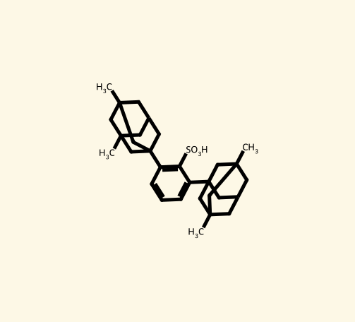 CC12CC3CC(C)(C1)CC(c1cccc(C45CC6CC(C)(CC(C)(C6)C4)C5)c1S(=O)(=O)O)(C3)C2